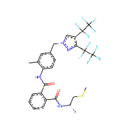 CSC[C@H](C)NC(=O)c1ccccc1C(=O)Nc1ccc(Cn2cc(C(F)(F)C(F)(F)F)c(C(F)(F)C(F)(F)F)n2)cc1C